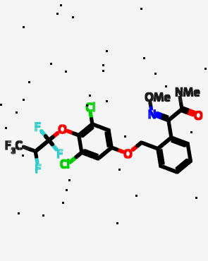 CNC(=O)C(=NOC)c1ccccc1COc1cc(Cl)c(OC(F)(F)C(F)C(F)(F)F)c(Cl)c1